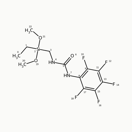 CC[Si](CNC(=O)Nc1c(F)c(F)c(F)c(F)c1F)(OC)OC